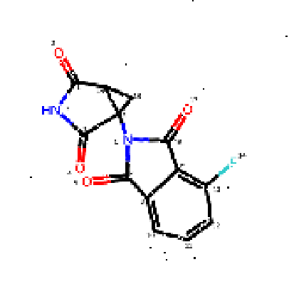 O=C1NC(=O)C2(N3C(=O)c4cccc(F)c4C3=O)CC12